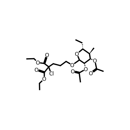 CCOC(=O)C(Cl)(CCCOC1O[C@H](CC)[C@@H](C)[C@H](OC(C)=O)[C@@H]1OC(C)=O)C(=O)OCC